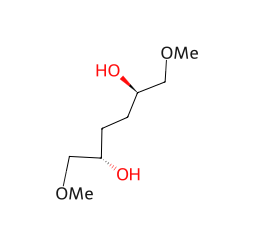 COC[C@H](O)CC[C@H](O)COC